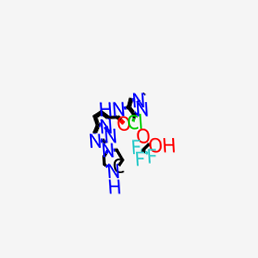 Cn1cc(NC(=O)c2ccc3cnc(N4CCCNCC4)nn23)c(Cl)n1.O=C(O)C(F)(F)F